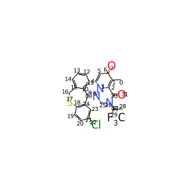 Cc1c2n(ccc1=O)N([C@H]1c3ccccc3CSc3ccc(Cl)cc31)CN([C@H](C)C(F)(F)F)C2=O